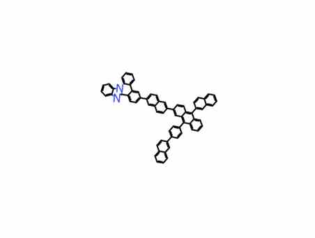 c1ccc2cc(-c3ccc(-c4c5ccccc5c(-c5ccc6ccccc6c5)c5ccc(-c6ccc7cc(-c8ccc9c(c8)c8ccccc8n8c%10ccccc%10nc98)ccc7c6)cc45)cc3)ccc2c1